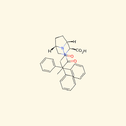 CC(CC(=O)N1[C@H]2CC[C@@H]1[C@@H](C(=O)O)N(C(=O)C(c1ccccc1)c1ccccc1)C2)c1ccccc1